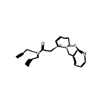 C#CCN(CC#C)C(=O)C[C@H]1CCCCN1Cc1cccnc1OC